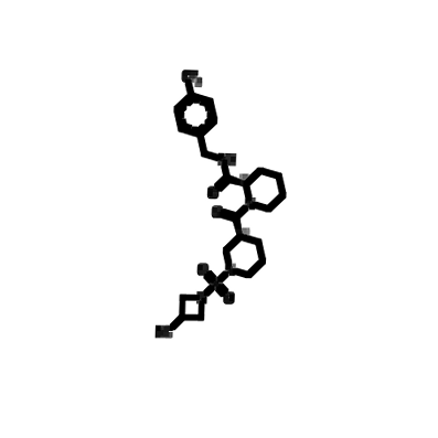 N#CC1CN(S(=O)(=O)N2CCC[C@H](C(=O)N3CCCC[C@@H]3C(=O)NCc3ccc(C(F)(F)F)cc3)C2)C1